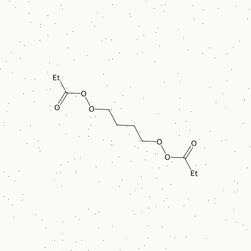 CCC(=O)OO[CH]CC[CH]OOC(=O)CC